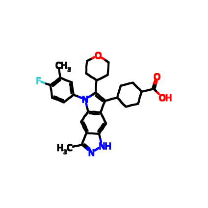 Cc1cc(-n2c(C3CCOCC3)c(C3CCC(C(=O)O)CC3)c3cc4[nH]nc(C)c4cc32)ccc1F